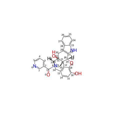 O=C(c1cccnc1)N1CC[C@]23c4c5ccc(O)c4O[C@H]2c2[nH]c4ccccc4c2C[C@@]3(O)[C@H]1C5